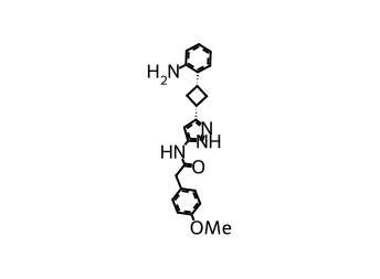 COc1ccc(CC(=O)Nc2cc([C@H]3C[C@@H](c4ccccc4N)C3)n[nH]2)cc1